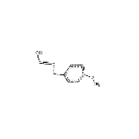 COc1ccc(CC=CO)cc1